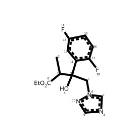 CCOC(=O)C(C)C(O)(Cn1cncn1)c1cc(F)ccc1F